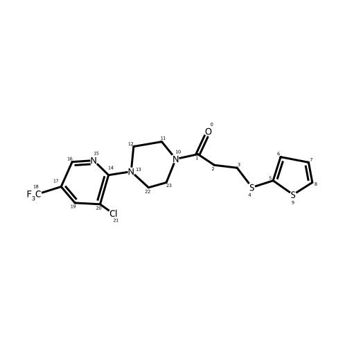 O=C(CCSc1cccs1)N1CCN(c2ncc(C(F)(F)F)cc2Cl)CC1